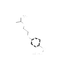 CCCCCOc1ccc(OCCOC(C)OC)cc1